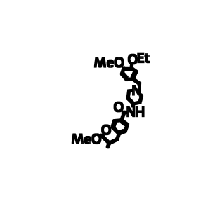 CCOc1cc(CN2CCC(NC(=O)c3ccc(CC(C)C(=O)OC)cc3)CC2)ccc1OC